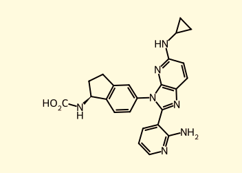 Nc1ncccc1-c1nc2ccc(NC3CC3)nc2n1-c1ccc2c(c1)CC[C@@H]2NC(=O)O